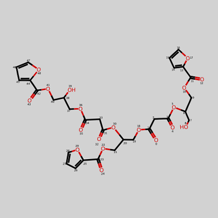 O=C(CC(=O)OC(CO)COC(=O)c1ccco1)OCC(COC(=O)c1ccco1)OC(=O)CC(=O)OCC(O)COC(=O)c1ccco1